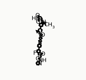 Cn1nc(N2CCC(=O)NC2=O)c2ccc(C3CCN(CC(=O)N4CC5(C4)CN(c4ccc(-c6cc(F)c7c(c6)C(=O)N(CC(=O)Nc6ccccn6)C7)cc4)C5)C4(CC4)C3)cc21